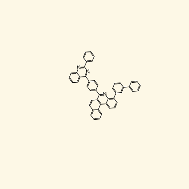 c1ccc(-c2cccc(-c3cccc4c3nc(-c3ccc(-c5nc(-c6ccccc6)nc6ccccc56)cc3)c3ccc5ccccc5c34)c2)cc1